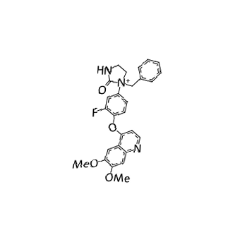 COc1cc2nccc(Oc3ccc([N+]4(Cc5ccccc5)CCNC4=O)cc3F)c2cc1OC